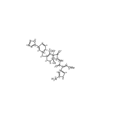 CON=C(C(=O)N[C@@H]1C(=O)N2C(C(=O)[O-])=C(C[n+]3cccc(-c4cnco4)c3)CS[C@@H]12)c1csc(N)n1